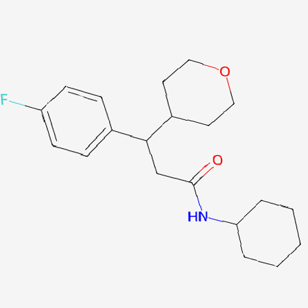 O=C(CC(c1ccc(F)cc1)C1CCOCC1)NC1CCCCC1